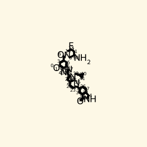 COc1cc(C(=O)N2C[C@H](N)C[C@@H](F)C2)cc2nc(-c3cc4ccc(-c5ccc6c(c5)C(=O)NC6)nc4n3CC3CC3)n(C)c12